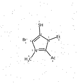 CCn1c(S)c[n+](C)c1C(C)=O.[Br-]